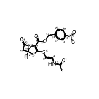 CC(=O)N/C=C/SC1=C(C(=O)OCc2ccc([N+](=O)[O-])cc2)N2C(=O)C[C@H]2S1